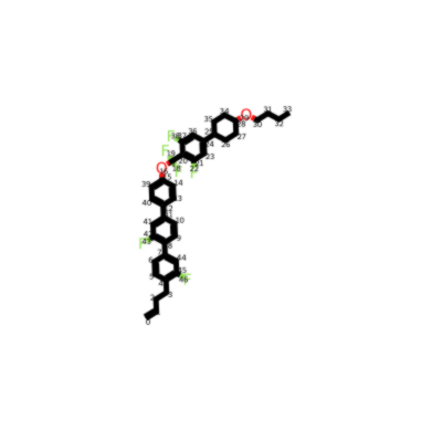 C=CCCc1ccc(-c2ccc(-c3ccc(OC(F)(F)c4c(F)cc(C5CCC(OCCCC)CC5)cc4F)cc3)cc2F)cc1F